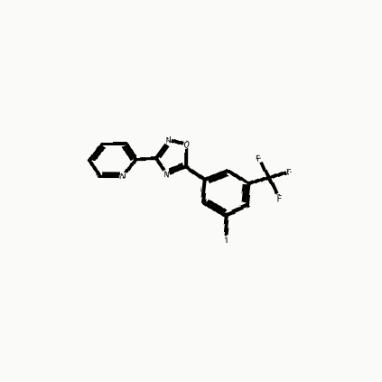 FC(F)(F)c1cc(I)cc(-c2nc(-c3ccccn3)no2)c1